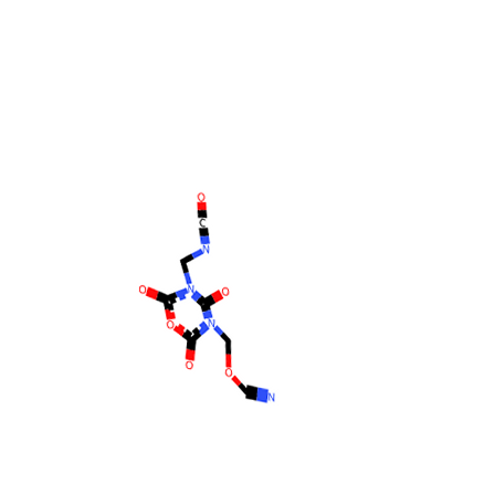 N#COCn1c(=O)oc(=O)n(CN=C=O)c1=O